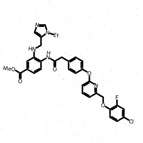 CCn1cncc1CNc1cc(C(=O)OC)ccc1NC(=O)Cc1ccc(Oc2cccc(COc3ccc(Cl)cc3F)n2)cc1